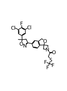 CC1(c2cc(Cl)c(F)c(Cl)c2)CC(c2ccc3c(c2)COC32CN(C(=O)CSC(F)(F)F)C2)=NO1